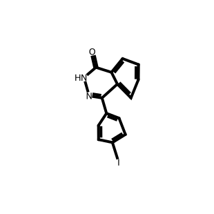 O=c1[nH]nc(-c2ccc(I)cc2)c2ccccc12